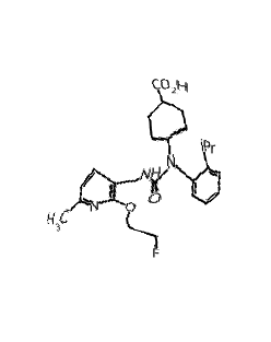 Cc1ccc(NC(=O)N(c2ccccc2C(C)C)C2CCC(C(=O)O)CC2)c(OCCF)n1